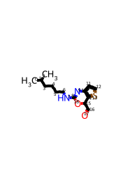 CC(C)CCCCNC1=Nc2ccsc2C(C=O)O1